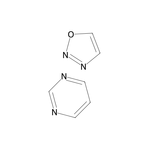 c1cncnc1.c1conn1